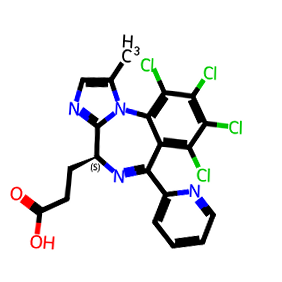 Cc1cnc2n1-c1c(Cl)c(Cl)c(Cl)c(Cl)c1C(c1ccccn1)=N[C@H]2CCC(=O)O